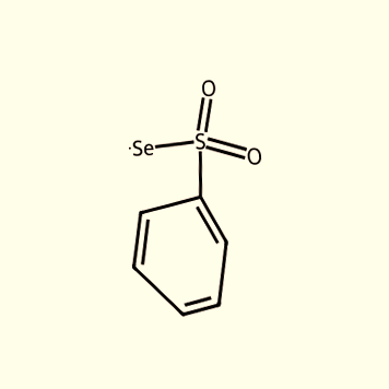 O=S(=O)([Se])c1ccccc1